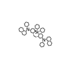 C1=Cc2cc(N(c3ccccc3)c3cccc4ccccc34)ccc2[Si](c2ccccc2)(c2ccccc2)c2ccc(N(c3ccccc3)c3cccc4ccccc34)cc21